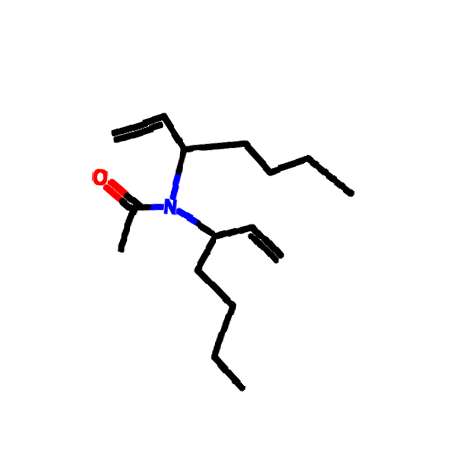 C=CC(CCCC)N(C(C)=O)C(C=C)CCCC